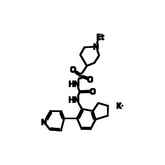 CCN1CCC(S(=O)(=O)NC(=O)Nc2c(-c3ccncc3)ccc3c2CCC3)CC1.[K]